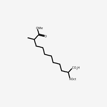 CCCCCCCCC(CCCCCCCC(C)C(=O)OC)C(=O)O